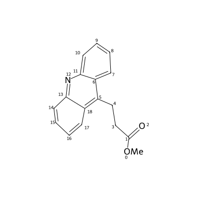 COC(=O)CCc1c2ccccc2nc2ccccc12